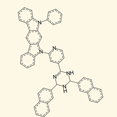 c1ccc(-n2c3ccccc3c3cc4c5ccccc5n(-c5cc(C6=NC(c7ccc8ccccc8c7)NC(c7ccc8ccccc8c7)N6)ccn5)c4cc32)cc1